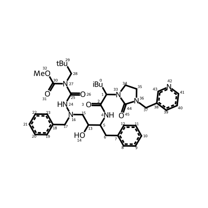 CCC(C)C(C(=O)NC(Cc1ccccc1)C(O)CN(Cc1ccccc1)NC(=O)N(CC(C)(C)C)C(=O)OC)N1CCN(Cc2cccnc2)C1=O